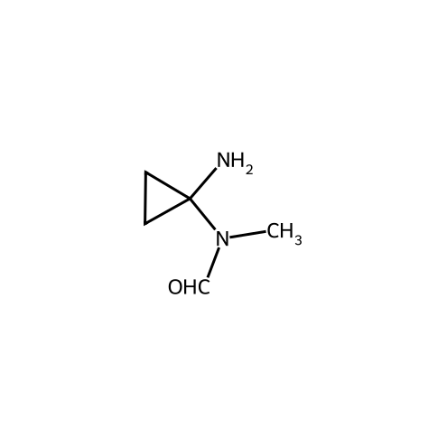 CN(C=O)C1(N)CC1